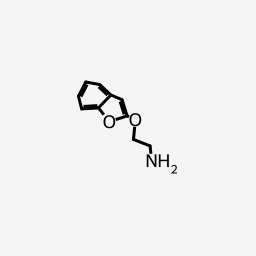 NCCOc1cc2ccccc2o1